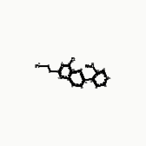 CCc1nc(CCC(C)C)nc2ccc(-c3ccncc3OC)cc12